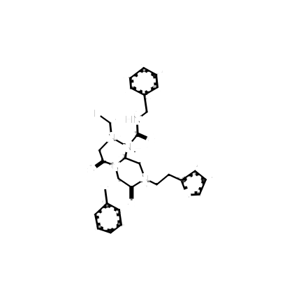 O=C1[C@H](Cc2ccccc2)N2C(=O)CN(CF)N(C(=O)NCc3ccccc3)[C@H]2CN1CCc1cccs1